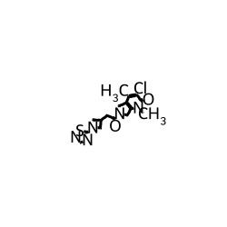 Cc1c2c(n(C)c(=O)c1Cl)CN(C(=O)CC1CN(c3ncns3)C1)C2